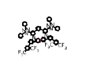 FC(F)(F)c1ccc(-c2ccc3c(c2)c2ccccc2n3-c2cc(-c3cccc(-c4cc(-c5nc(-c6ccccc6)nc(-c6ccccc6)n5)cc(-n5c6ccccc6c6cc(-c7ccc(C(F)(F)F)cc7C(F)(F)F)ccc65)c4)c3)cc(-c3nc(-c4ccccc4)nc(-c4ccccc4)n3)c2)c(C(F)(F)F)c1